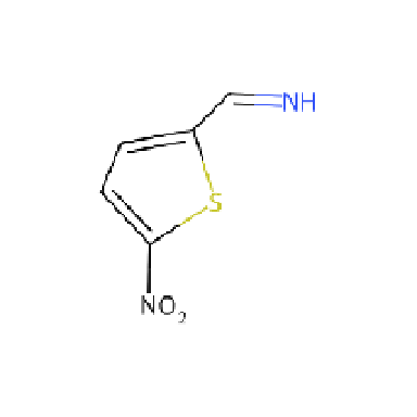 N=Cc1ccc([N+](=O)[O-])s1